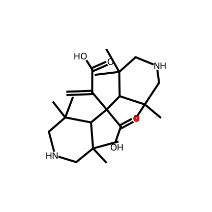 C=C(C(=O)O)C(C(=O)O)(C1C(C)(C)CNCC1(C)C)C1C(C)(C)CNCC1(C)C